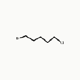 ClCC[CH]CCBr